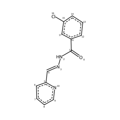 O=C(N/N=C/c1ccccn1)c1cccc(Cl)c1